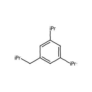 C[C](C)c1cc(CC(C)C)cc(C(C)C)c1